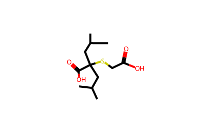 CC(C)CC(CC(C)C)(SCC(=O)O)C(=O)O